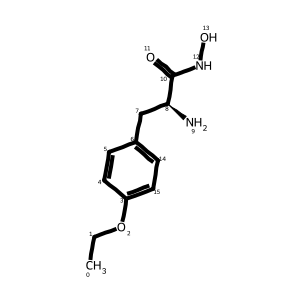 CCOc1ccc(C[C@H](N)C(=O)NO)cc1